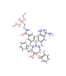 CCOP(=O)(CCNC(=O)c1cccc(CN2C(=O)N(Cc3ccc4[nH]nc(N)c4c3)[C@H](Cc3ccccc3)[C@H](O)[C@@H](O)[C@H]2Cc2ccccc2)c1)OCC